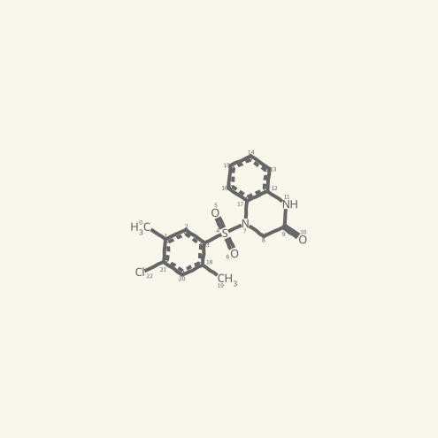 Cc1cc(S(=O)(=O)N2[C]C(=O)Nc3ccccc32)c(C)cc1Cl